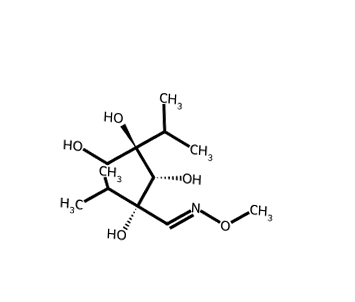 CON=C[C@@](O)(C(C)C)[C@@H](O)[C@](O)(CO)C(C)C